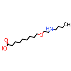 CCCCNCCOCCCCCCCCC(=O)O